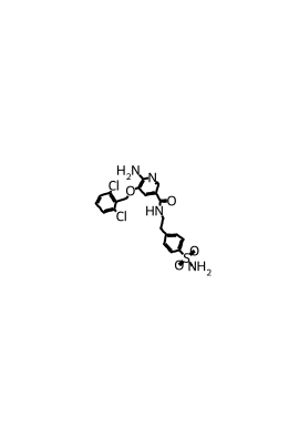 Nc1ncc(C(=O)NCCc2ccc(S(N)(=O)=O)cc2)cc1OCc1c(Cl)cccc1Cl